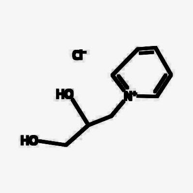 OCC(O)C[n+]1ccccc1.[Cl-]